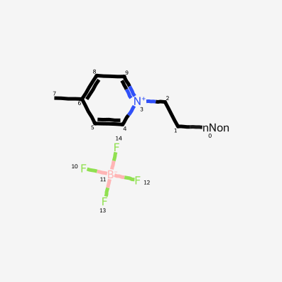 CCCCCCCCCCC[n+]1ccc(C)cc1.F[B-](F)(F)F